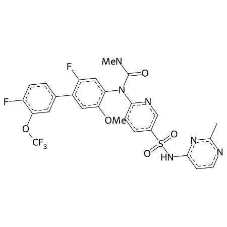 CNC(=O)N(c1ccc(S(=O)(=O)Nc2ccnc(C)n2)cn1)c1cc(F)c(-c2ccc(F)c(OC(F)(F)F)c2)cc1OC